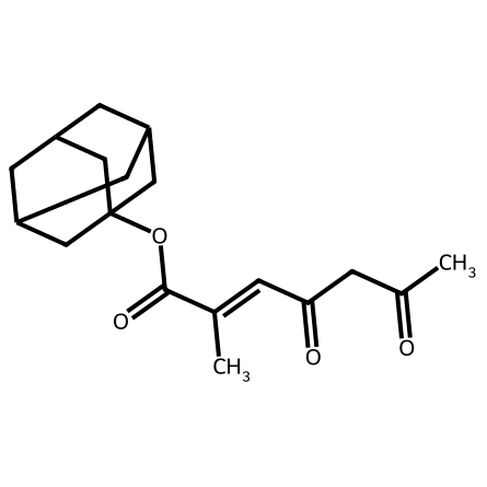 CC(=O)CC(=O)C=C(C)C(=O)OC12CC3CC(CC(C3)C1)C2